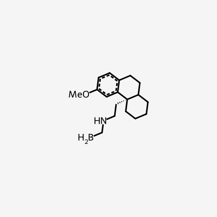 BCNCC[C@@]12CCCCC1CCc1ccc(OC)cc12